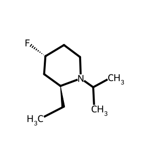 CC[C@H]1C[C@H](F)CCN1C(C)C